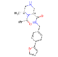 CC(C)C(=O)N1[C@H](C)CNC[C@@H]1C(=O)NCc1ccc(-c2ccco2)cc1